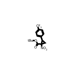 CC(C)(C)OC(=O)C1([N+](=O)[O-])CC1c1ccc(C(F)(F)F)cc1